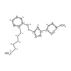 Cc1ccc(-c2csc(COc3ccccc3CCCCCC(=O)O)n2)cc1